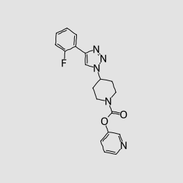 O=C(Oc1cccnc1)N1CCC(n2cc(-c3ccccc3F)nn2)CC1